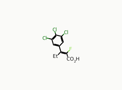 CCC(=C(F)C(=O)O)c1cc(Cl)c(Cl)c(Cl)c1